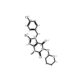 Cn1c(=O)n(OC2CCCCO2)c(=O)c2c1nc(Br)n2Cc1ccc(Cl)cc1